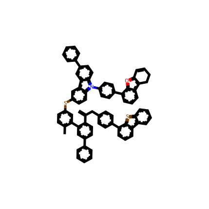 C=C(Cc1ccc(-c2cccc3c2sc2ccccc23)cc1)c1ccc(-c2ccccc2)cc1-c1cc(Sc2ccc3c(c2)c2cc(-c4ccccc4)ccc2n3-c2ccc(-c3cccc4c5c(oc34)C=CCC5)cc2)ccc1C